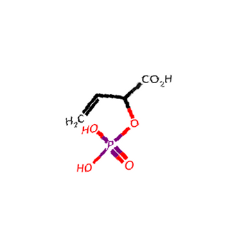 C=CC(OP(=O)(O)O)C(=O)O